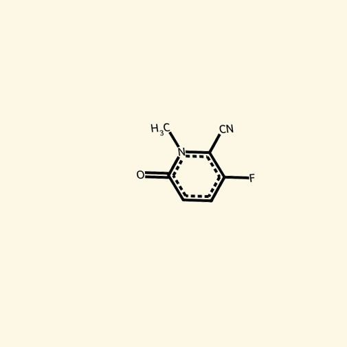 Cn1c(C#N)c(F)ccc1=O